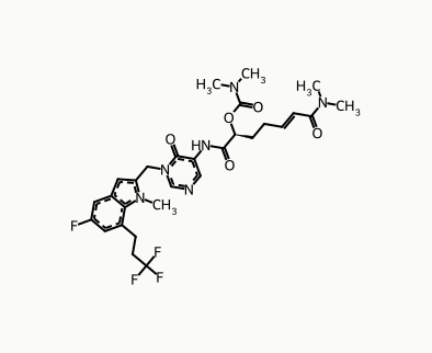 CN(C)C(=O)/C=C/CC[C@H](OC(=O)N(C)C)C(=O)Nc1cncn(Cc2cc3cc(F)cc(CCC(F)(F)F)c3n2C)c1=O